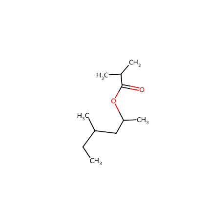 CCC(C)CC(C)OC(=O)C(C)C